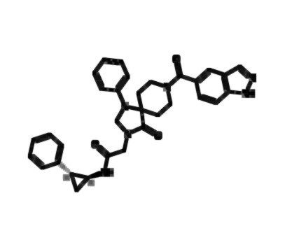 O=C(CN1CN(c2ccccc2)C2(CCN(C(=O)c3ccc4[nH]ncc4c3)CC2)C1=O)N[C@H]1C[C@@H]1c1ccccc1